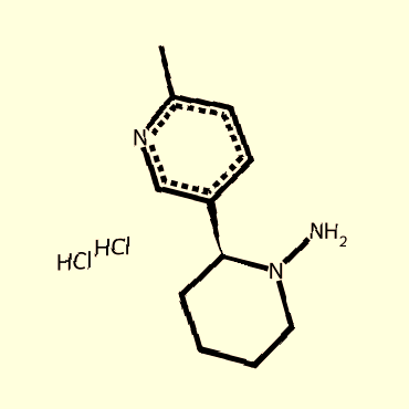 Cc1ccc([C@@H]2CCCCN2N)cn1.Cl.Cl